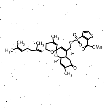 COC(=O)c1sccc1S(=O)(=O)OCC1=C[C@]2(C=C(C)C[C@@H](/C=C(\C)CCC=C(C)C)O2)O[C@@H]2C=C(C)C(=O)C[C@H]12